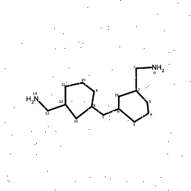 NCC1CCCC(CC2CCCC(CN)C2)C1